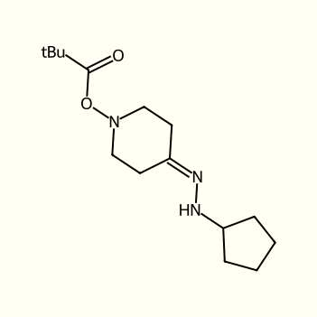 CC(C)(C)C(=O)ON1CCC(=NNC2CCCC2)CC1